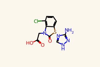 Nc1nc[nH]n1.O=C(O)Cn1c(=O)sc2cccc(Cl)c21